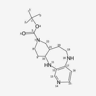 CC(C)(C)OC(=O)N1CCC2Nc3cnccc3NCCC2C1